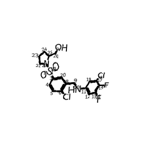 O=S(=O)(c1ccc(Cl)c(CNc2cc(F)c(F)c(Cl)c2)c1)N1CCCC1CO